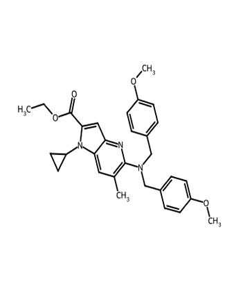 CCOC(=O)c1cc2nc(N(Cc3ccc(OC)cc3)Cc3ccc(OC)cc3)c(C)cc2n1C1CC1